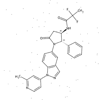 Cc1cc(-n2ncc3cc(N4C(=O)C[C@@H](NC(=O)C(C)(F)F)[C@@H]4c4ccccc4)ccc32)ccn1